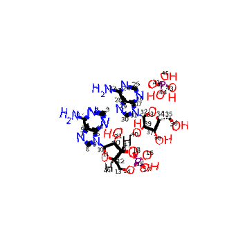 Nc1ncnc2c1ncn2[C@@H]1O[C@@H]2COP(=O)(O)O[C@H]2[C@H]1O.Nc1ncnc2c1ncn2[C@@H]1O[C@H](CO)[C@@H](O)[C@H]1O.O=P(O)(O)O